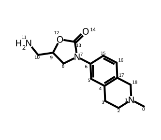 CN1CCc2cc(N3CC(CN)OC3=O)ccc2C1